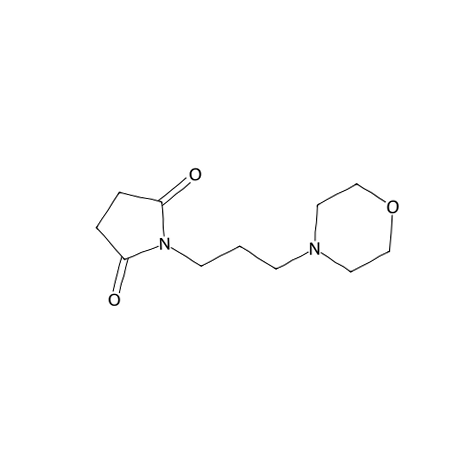 O=C1CCC(=O)N1CCCN1CCOCC1